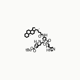 C[C@H](CCC(=O)N[C@H]1C[C@@H](C(=O)NCCc2cnc[nH]2)N(C(=O)C(N)Cc2cn(C(=O)OC(C)(C)C)cn2)C1)[C@H]1CCC2C3CCC4CCCC[C@]4(C)C3CC[C@@]21C